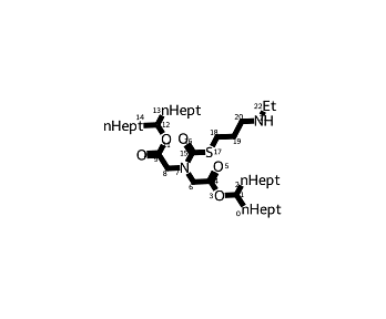 CCCCCCCC(CCCCCCC)OC(=O)CN(CC(=O)OC(CCCCCCC)CCCCCCC)C(=O)SCCCNCC